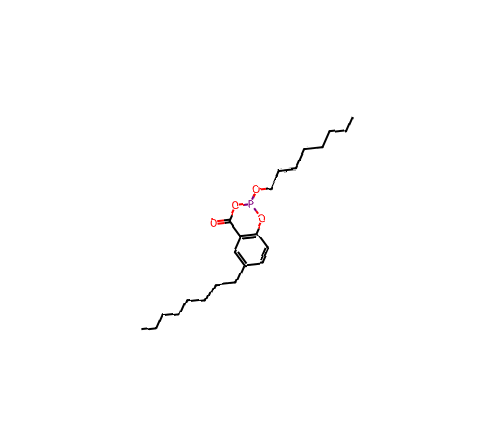 CCCCCCCCOP1OC(=O)c2cc(CCCCCCCC)ccc2O1